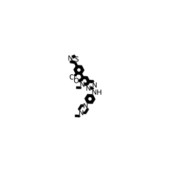 CCN1CCN(c2ccc(Nc3ncc4cc(-c5ccc(-c6cncs6)cc5Cl)c(=O)n(CC)c4n3)cc2)CC1